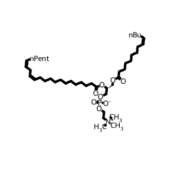 CCCC/C=C\CCCCCCCC(=O)OC[C@H](COP(=O)([O-])OCC[N+](C)(C)C)OC(=O)CCCCCCCCCCC/C=C\C/C=C\CCCCC